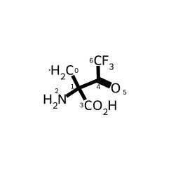 [CH2]C(N)(C(=O)O)C(=O)C(F)(F)F